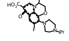 CC(C)N1CCN(c2c(F)cc3c(=O)c(C(=O)O)cn4c3c2OCC4C)CC1